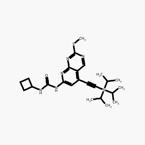 CSc1ncc2c(C#C[Si](C(C)C)(C(C)C)C(C)C)cc(NC(=O)NC3CCC3)nc2n1